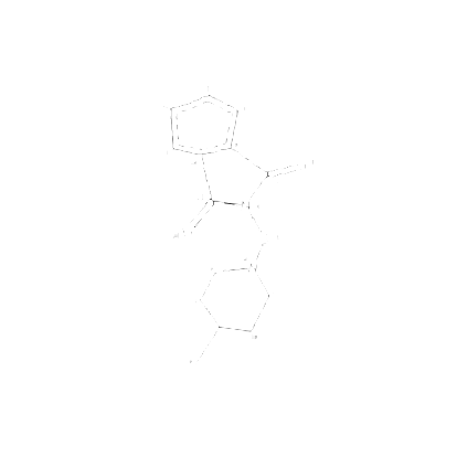 CC1CCN(SN2C(=O)c3ccccc3C2=O)CC1